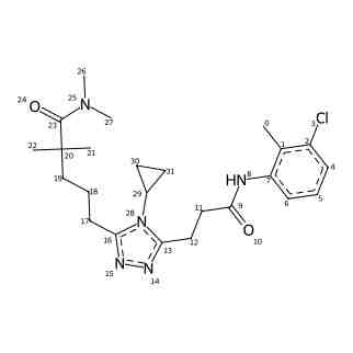 Cc1c(Cl)cccc1NC(=O)CCc1nnc(CCCC(C)(C)C(=O)N(C)C)n1C1CC1